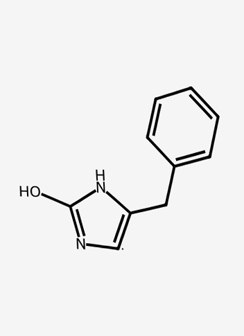 Oc1n[c]c(Cc2ccccc2)[nH]1